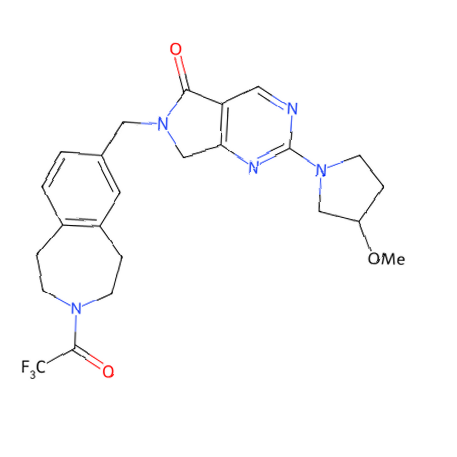 COC1CCN(c2ncc3c(n2)CN(Cc2ccc4c(c2)CCN(C(=O)C(F)(F)F)CC4)C3=O)C1